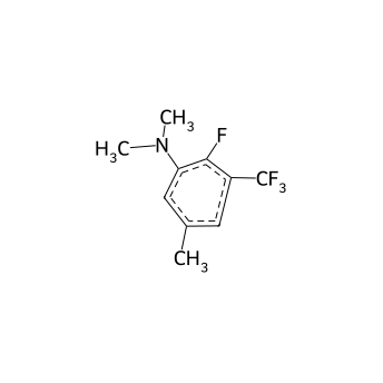 Cc1cc(N(C)C)c(F)c(C(F)(F)F)c1